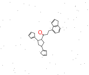 O=C(CCc1cccc2c1C=CC2)C1CC(C2=CC=CC2)CC1C1=CC=CC1